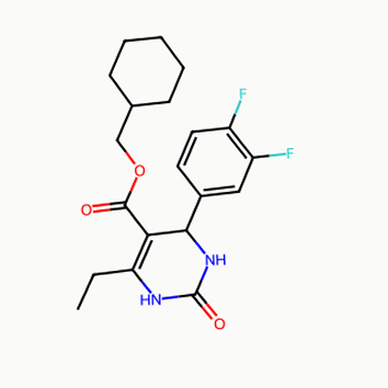 CCC1=C(C(=O)OCC2CCCCC2)C(c2ccc(F)c(F)c2)NC(=O)N1